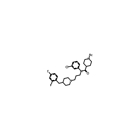 CC(=O)N1CCC(C(=O)N(CCCN2CCC(Cc3ccc(F)cc3F)CC2)c2cccc(Cl)c2)CC1